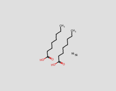 CCCCCCCC(=O)O.CCCCCCCC(=O)O.[Ni].[Ni]